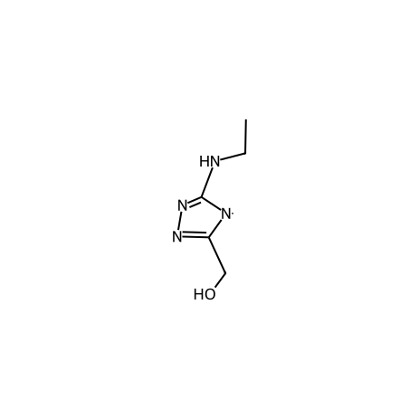 CCNC1=NN=C(CO)[N]1